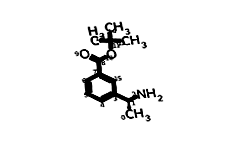 C[C@H](N)c1cccc(C(=O)OC(C)(C)C)c1